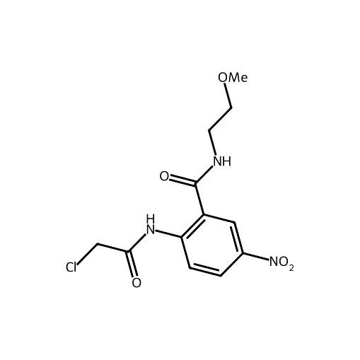 COCCNC(=O)c1cc([N+](=O)[O-])ccc1NC(=O)CCl